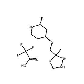 C[C@H]1C[C@@H](OCC2(C)NNCO2)CCN1.O=C(O)C(F)(F)F